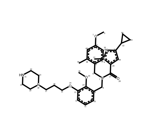 COc1ccc(CN(Cc2cccc(OCCCN3CCNCC3)c2OC)C(=O)c2cc(C3CC3)nn2C)c(C)c1